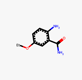 CCOc1ccc(N)c(C(N)=O)c1